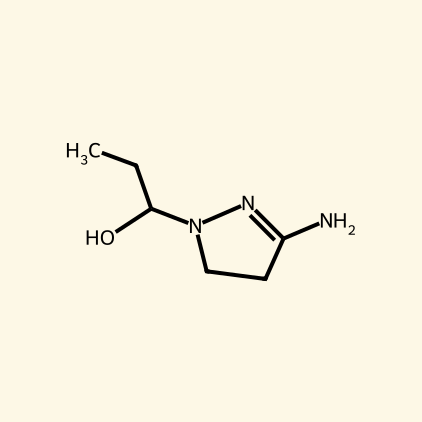 CCC(O)N1CCC(N)=N1